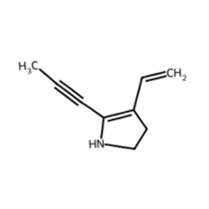 C=CC1=C(C#CC)NCC1